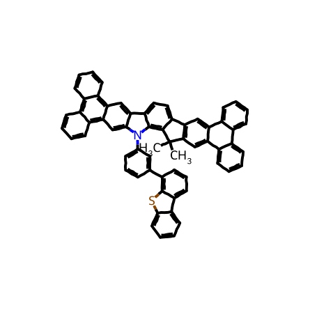 CC1(C)c2cc3c4ccccc4c4ccccc4c3cc2-c2ccc3c4cc5c6ccccc6c6ccccc6c5cc4n(-c4cccc(-c5cccc6c5sc5ccccc56)c4)c3c21